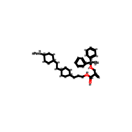 C=C(CO[Si](c1ccccc1)(c1ccccc1)C(C)(C)C)C(=O)OCCCC1CCC(CCC2CCC(CCCCC)CC2)CC1